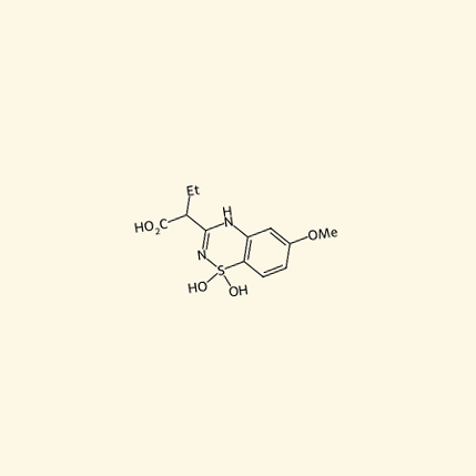 CCC(C(=O)O)C1=NS(O)(O)c2ccc(OC)cc2N1